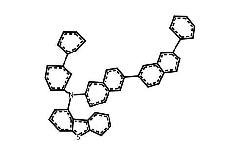 c1ccc(-c2cccc(N(c3ccc4cc(-c5ccc6ccc(-c7ccccc7)cc6c5)ccc4c3)c3cccc4sc5ccccc5c34)c2)cc1